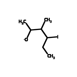 CCC(I)C(C)C(C)[O]